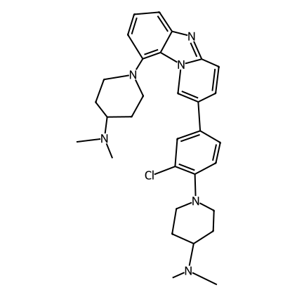 CN(C)C1CCN(c2ccc(-c3ccc4nc5cccc(N6CCC(N(C)C)CC6)c5n4c3)cc2Cl)CC1